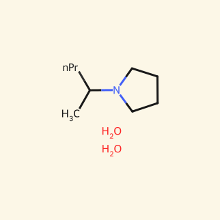 CCCC(C)N1CCCC1.O.O